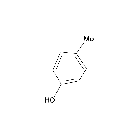 Oc1cc[c]([Mo])cc1